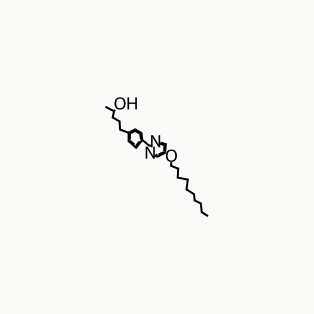 CCCCCCCCCCOc1cnc(-c2ccc(CCCC(C)O)cc2)nc1